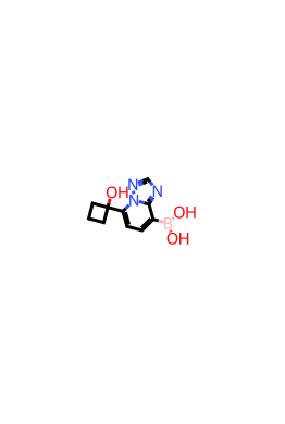 OB(O)c1ccc(C2(O)CCC2)n2ncnc12